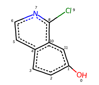 Oc1ccc2ccnc(Cl)c2c1